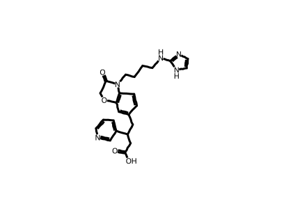 O=C(O)CC(Cc1ccc2c(c1)OCC(=O)N2CCCCNc1ncc[nH]1)c1cccnc1